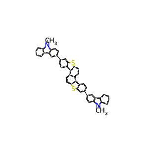 Cn1c2ccccc2c2cc(-c3ccc4c(c3)sc3ccc5c(ccc6sc7cc(-c8ccc9c(c8)c8ccccc8n9C)ccc7c65)c34)ccc21